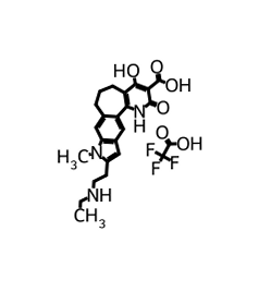 CCNCCc1cc2cc3c(cc2n1C)CCCc1c-3[nH]c(=O)c(C(=O)O)c1O.O=C(O)C(F)(F)F